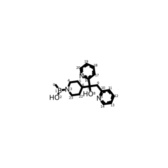 CB(O)N1CCC(C(O)(Cc2ccccn2)c2ccccn2)CC1